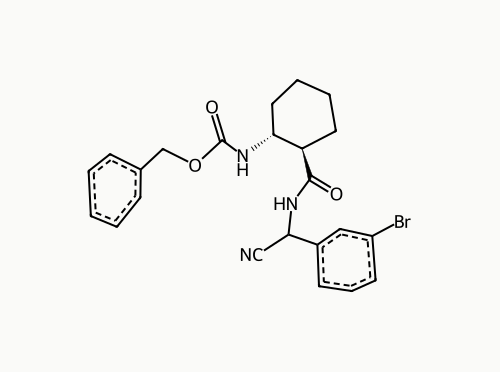 N#CC(NC(=O)[C@@H]1CCCC[C@H]1NC(=O)OCc1ccccc1)c1cccc(Br)c1